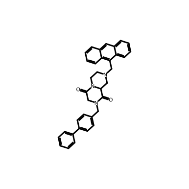 O=C1C2CN(Cc3c4ccccc4cc4ccccc34)CCN2C(=O)CN1Cc1ccc(-c2ccccc2)cc1